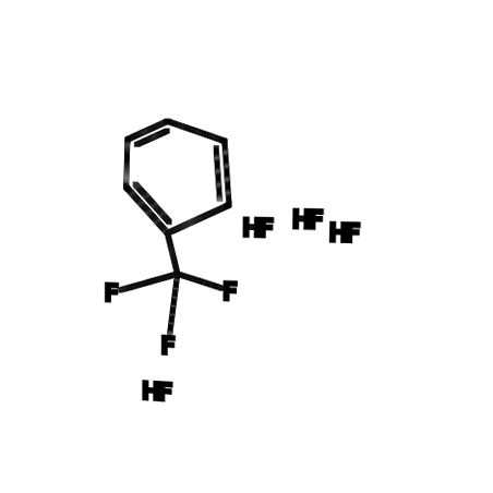 F.F.F.F.FC(F)(F)c1ccccc1